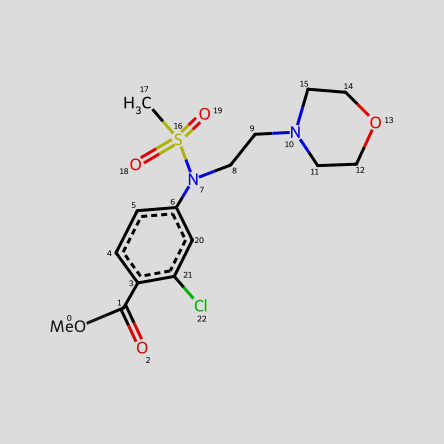 COC(=O)c1ccc(N(CCN2CCOCC2)S(C)(=O)=O)cc1Cl